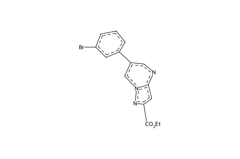 CCOC(=O)c1cc2ncc(-c3cccc(Br)c3)cn2n1